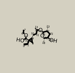 C=C[C@@]1(C(O)OCC)C[C@H]1CC[C@@H](C)O[C@@H]1O[C@@H](C)[C@H](O)C[C@H]1C